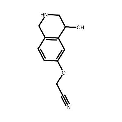 N#CCOc1ccc2c(c1)C(O)CNC2